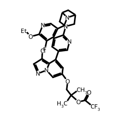 CCOc1ncc(CN2C3CC2CN(c2ccc(-c4cc(OCC(C)(C)OC(=O)C(F)(F)F)cn5ncc(Cl)c45)cn2)C3)cc1F